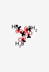 BC(C)C(=O)OCC(COC(=O)C(B)C)(COC(=O)C(C)C)COC(=O)C(C)BC